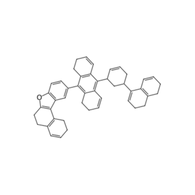 C1=CC2=C(CC1)CCC=C2C1CC=CC(c2c3c(c(-c4ccc5oc6c(c5c4)C4=C(C=CCC4)CC6)c4c2C=CCC4)CCC=C3)C1